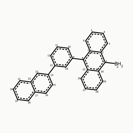 Bc1c2ccccc2c(-c2cccc(-c3ccc4ccccc4c3)c2)c2ccccc12